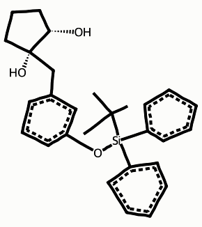 CC(C)(C)[Si](Oc1cccc(C[C@@]2(O)CCC[C@@H]2O)c1)(c1ccccc1)c1ccccc1